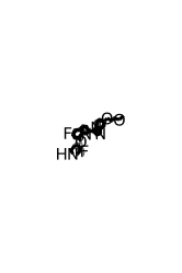 COCCOc1ccn2c(-c3ccc4cc(F)cc(O[C@H]5CCNC[C@H]5F)c4n3)cnc2c1